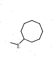 CBC1CCCCCCC1